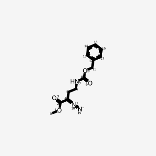 COC(=O)C(CCNC(=O)OCc1ccccc1)=[N+]=[N-]